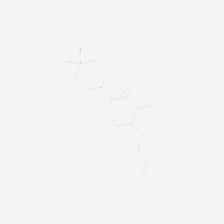 C=CCCc1ccc(C2CCC(C)(C)CC2)c(F)c1F